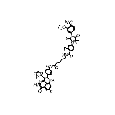 Cn1ncnc1C1c2n[nH]c(=O)c3cc(F)cc(c23)NC1c1ccc(NC(=O)CCCCNC(=O)c2ccc(N3C(=S)N(c4ccc(C#N)c(C(F)(F)F)c4)C(=O)C3(C)C)cc2F)cc1